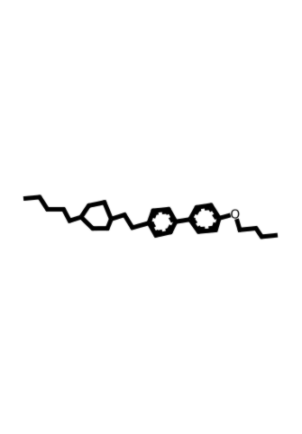 CCCCCC1CCC(CCc2ccc(-c3ccc(OCCCC)cc3)cc2)CC1